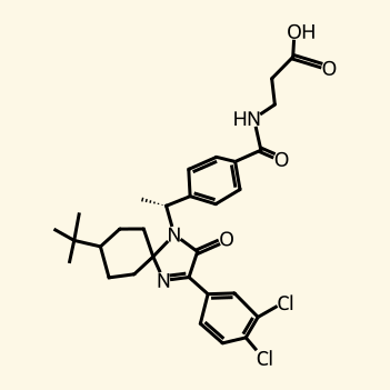 C[C@H](c1ccc(C(=O)NCCC(=O)O)cc1)N1C(=O)C(c2ccc(Cl)c(Cl)c2)=NC12CCC(C(C)(C)C)CC2